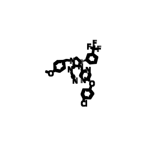 COc1ccc(CN2C[C@H](c3cccc(C(F)(F)F)c3)N(c3cnc(Oc4ccc(Cl)cc4)cn3)C2=NC#N)cc1